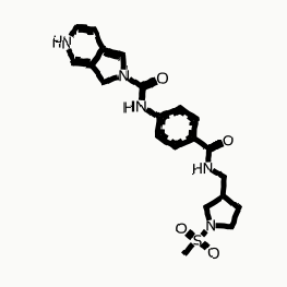 CS(=O)(=O)N1CCC(CNC(=O)c2ccc(NC(=O)N3C=C4C=CNC=C4C3)cc2)C1